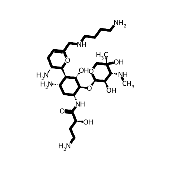 CN[C@@H]1[C@@H](O)[C@@H](O[C@@H]2[C@@H](O)[C@H](C3OC(CNCCCCN)=CC[C@H]3N)[C@@H](N)C[C@H]2NC(=O)[C@@H](O)CCN)OC[C@]1(C)O